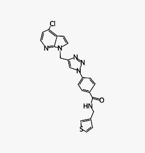 O=C(NCc1ccsc1)c1ccc(-n2cc(Cn3ccc4c(Cl)ccnc43)nn2)cc1